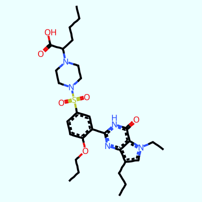 CCCCC(C(=O)O)N1CCN(S(=O)(=O)c2ccc(OCCC)c(-c3nc4c(CCC)cn(CC)c4c(=O)[nH]3)c2)CC1